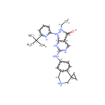 CC(C)(C#N)c1cccc(-n2c3nc(Nc4ccc5c(c4)CNCC54CC4)ncc3c(=O)n2CC(F)(F)F)n1